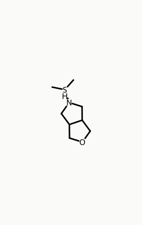 C[SH](C)N1CC2COCC2C1